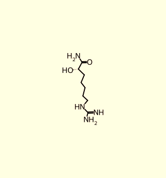 N=C(N)NCCCCC[C@H](O)C(N)=O